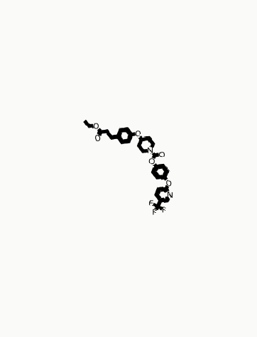 CCOC(=O)CCc1ccc(OC2CCN(C(=O)Oc3ccc(Oc4ccc(C(F)(F)F)cn4)cc3)CC2)cc1